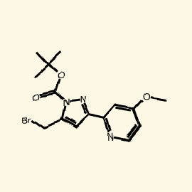 COc1ccnc(-c2cc(CBr)n(C(=O)OC(C)(C)C)n2)c1